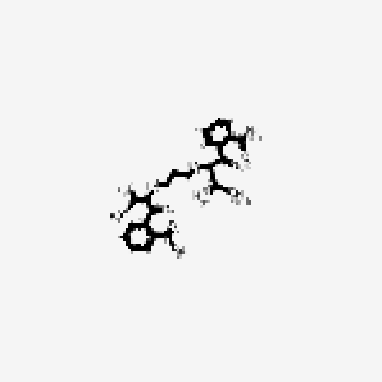 CC(C)C(NCCCNC(C(=O)c1ccccc1C(N)=O)C(C)C)C(=O)c1ccccc1C(N)=O